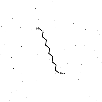 CCCCCCCCCCCCCCC[O][Nb]